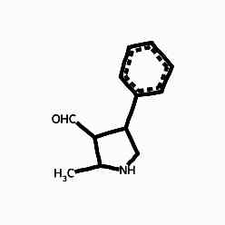 CC1NCC(c2ccccc2)C1C=O